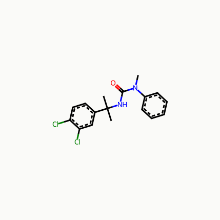 CN(C(=O)NC(C)(C)c1ccc(Cl)c(Cl)c1)c1ccccc1